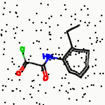 CCc1ccccc1NC(=O)C(=O)Cl